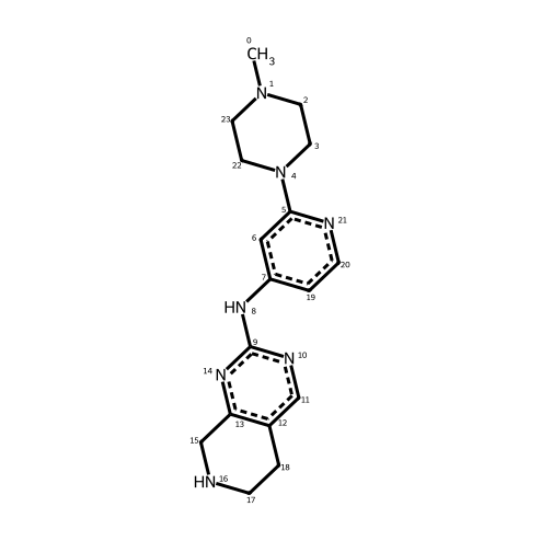 CN1CCN(c2cc(Nc3ncc4c(n3)CNCC4)ccn2)CC1